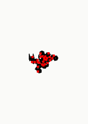 CC1(C2(C)c3ccccc3-c3c2cc(N(c2ccc4c(ccc5ccccc54)c2)c2ccc4c(ccc5ccccc54)c2)c2ccccc32)c2ccccc2-c2c1cc(N(c1ccc3c(ccc4ccccc43)c1)c1ccc3c(ccc4ccccc43)c1)c1ccccc21